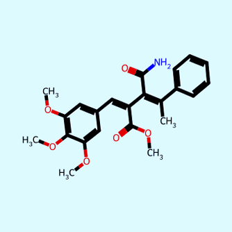 COC(=O)C(=Cc1cc(OC)c(OC)c(OC)c1)C(C(N)=O)=C(C)c1ccccc1